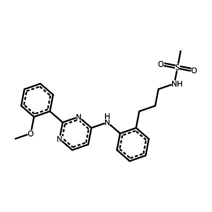 COc1ccccc1-c1nccc(Nc2ccccc2CCCNS(C)(=O)=O)n1